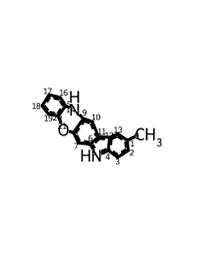 Cc1ccc2[nH]c3cc4c(cc3c2c1)Nc1ccccc1O4